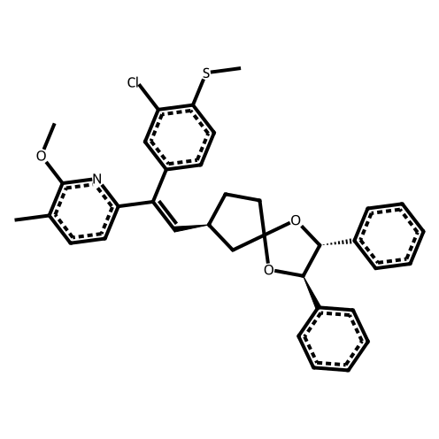 COc1nc(/C(=C/[C@H]2CCC3(C2)O[C@H](c2ccccc2)[C@@H](c2ccccc2)O3)c2ccc(SC)c(Cl)c2)ccc1C